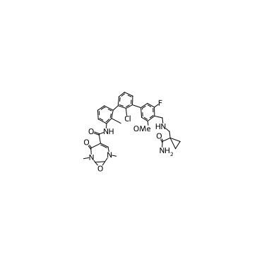 COc1cc(-c2cccc(-c3cccc(NC(=O)C4=CN(C)C5OC5N(C)C4=O)c3C)c2Cl)cc(F)c1CNCC1(C(N)=O)CC1